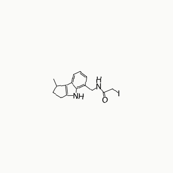 CC1CCc2[nH]c3c(CNC(=O)CI)cccc3c21